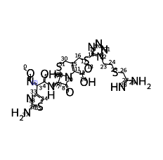 CO/N=C(\C(=O)N[C@@H]1C(=O)N2C(C(=O)O)=C(CSc3nnnn3CCSCC(=N)N)CS[C@@H]12)c1csc(N)n1